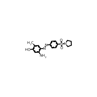 Cc1cc(N=Nc2ccc(S(=O)(=O)N3CCCC3)cc2)c(N)cc1O